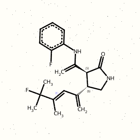 C=C(Nc1ccccc1F)[C@H]1C(=O)NC[C@@H]1C(=C)/C=C(\C)C(C)(C)F